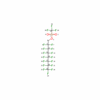 O=S(=O)(OCC(F)(F)C(F)(F)C(F)(F)C(F)(F)C(F)(F)C(F)(F)C(F)(F)F)C(F)(F)F